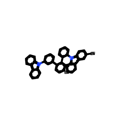 N#Cc1ccc2c(c1)c1ccccc1n2-c1ccccc1-c1c(-c2cccc(-n3c4ccccc4c4ccccc43)c2)ccc(C#N)c1C#N